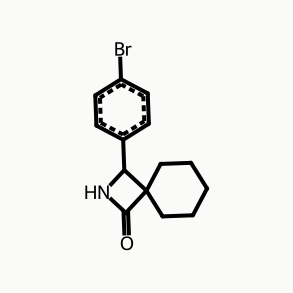 O=C1NC(c2ccc(Br)cc2)C12CCCCC2